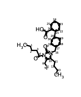 CCCCC(=O)n1c(CF)c(CCCC)n(Cc2ccc(-c3ccccc3C(=O)O)cc2)c1=O